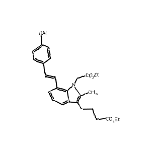 CCOC(=O)CCCc1c(C)n(CC(=O)OCC)c2c(C=Cc3ccc(OC(C)=O)cc3)cccc12